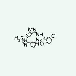 Cn1cnc(-c2cccc(NC(=O)Cc3cccc(Cl)c3)c2)c1-c1cc2c(N)ncnc2s1